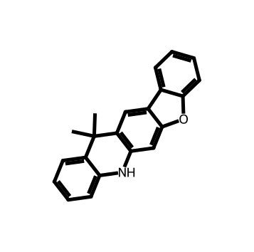 CC1(C)c2ccccc2Nc2cc3oc4ccccc4c3cc21